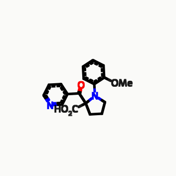 COc1ccccc1N1CCCC1(C(=O)O)C(=O)c1cccnc1